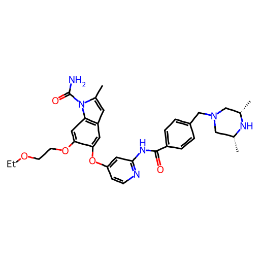 CCOCCOc1cc2c(cc1Oc1ccnc(NC(=O)c3ccc(CN4C[C@@H](C)N[C@@H](C)C4)cc3)c1)cc(C)n2C(N)=O